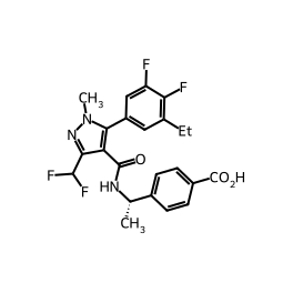 CCc1cc(-c2c(C(=O)N[C@@H](C)c3ccc(C(=O)O)cc3)c(C(F)F)nn2C)cc(F)c1F